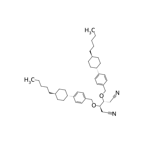 CCCCC[C@H]1CC[C@H](c2ccc(CO[C@H](CC#N)[C@@H](CC#N)OCc3ccc([C@H]4CC[C@H](CCCCC)CC4)cc3)cc2)CC1